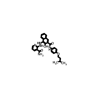 CC(C)CCOc1ccc(NC(=O)c2cc3ccccc3c(NNc3ncccc3C(N)=O)c2O)cc1